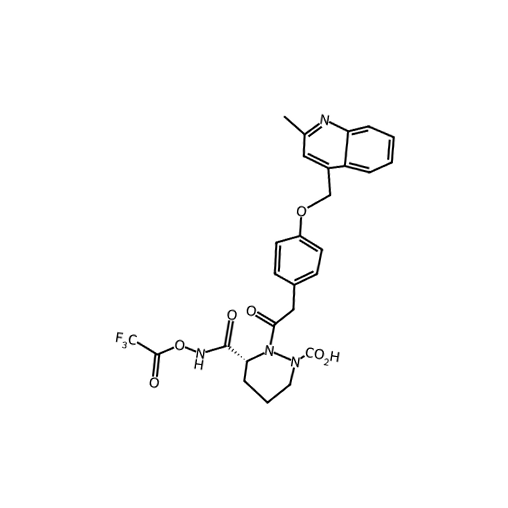 Cc1cc(COc2ccc(CC(=O)N3[C@@H](C(=O)NOC(=O)C(F)(F)F)CCCN3C(=O)O)cc2)c2ccccc2n1